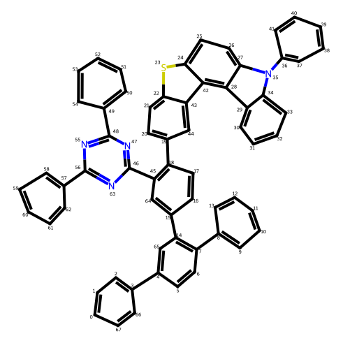 c1ccc(-c2ccc(-c3ccccc3)c(-c3ccc(-c4ccc5sc6ccc7c(c8ccccc8n7-c7ccccc7)c6c5c4)c(-c4nc(-c5ccccc5)nc(-c5ccccc5)n4)c3)c2)cc1